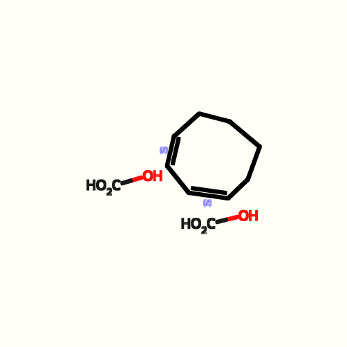 C1=C\CCCC\C=C/1.O=C(O)O.O=C(O)O